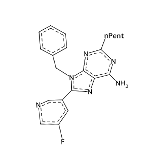 CCCCCc1nc(N)c2nc(-c3cncc(F)c3)n(Cc3ccccc3)c2n1